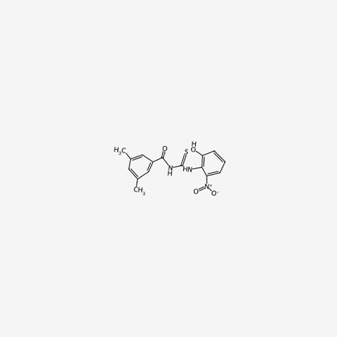 Cc1cc(C)cc(C(=O)NC(=S)Nc2c(O)cccc2[N+](=O)[O-])c1